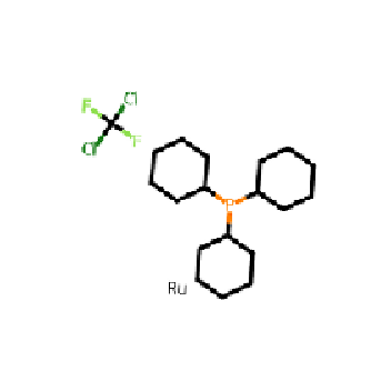 C1CCC(P(C2CCCCC2)C2CCCCC2)CC1.FC(F)(Cl)Cl.[Ru]